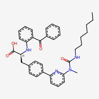 CCCCCCCNC(=O)N(C)c1cccc(-c2ccc(C[C@H](Nc3ccccc3C(=O)c3ccccc3)C(=O)O)cc2)n1